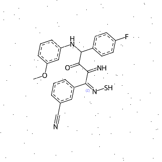 COc1cccc(NC(C(=O)C(=N)/C(=N\S)c2cccc(C#N)c2)c2ccc(F)cc2)c1